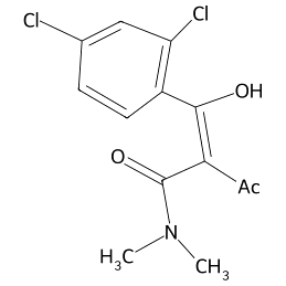 CC(=O)C(C(=O)N(C)C)=C(O)c1ccc(Cl)cc1Cl